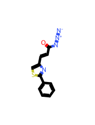 [N-]=[N+]=NC(=O)C=Cc1csc(-c2ccccc2)n1